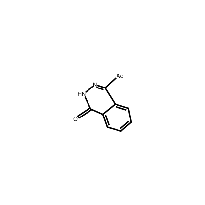 CC(=O)c1n[nH]c(=O)c2ccccc12